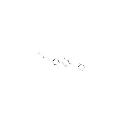 CC(C)(O)CC(=O)NCc1cc(F)c(-n2ccc(OCc3ccc(F)cc3F)c(Cl)c2=O)c(F)c1